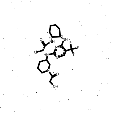 O=C(CCl)N[C@@H]1CCCC[C@H]1Nc1nc(NC2CCCN(C(=O)CO)C2)ncc1C(F)(F)F